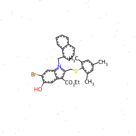 CCOC(=O)c1c(CSc2c(C)cc(C)cc2C)n(Cc2cccc3ccccc23)c2cc(Br)c(O)cc12